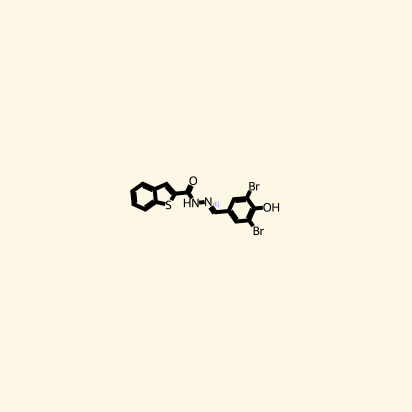 O=C(N/N=C/c1cc(Br)c(O)c(Br)c1)c1cc2ccccc2s1